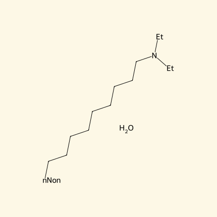 CCCCCCCCCCCCCCCCCCN(CC)CC.O